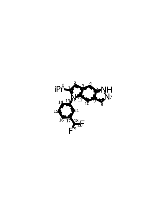 CC(C)c1cc2cc3[nH]ncc3cc2n1-c1cccc(C(F)F)c1